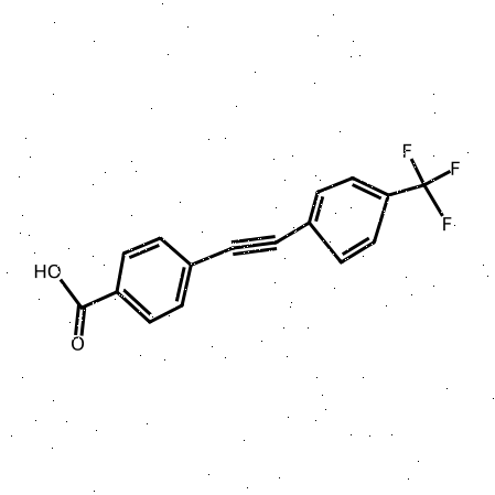 O=C(O)c1ccc(C#Cc2ccc(C(F)(F)F)cc2)cc1